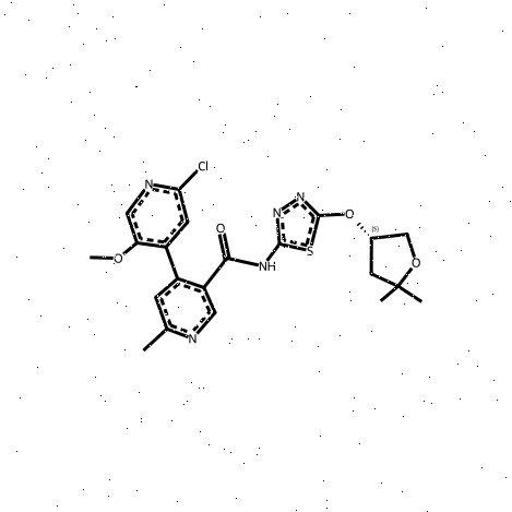 COc1cnc(Cl)cc1-c1cc(C)ncc1C(=O)Nc1nnc(O[C@@H]2COC(C)(C)C2)s1